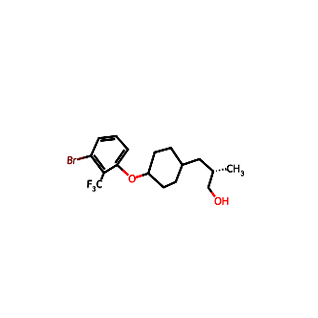 C[C@H](CO)CC1CCC(Oc2cccc(Br)c2C(F)(F)F)CC1